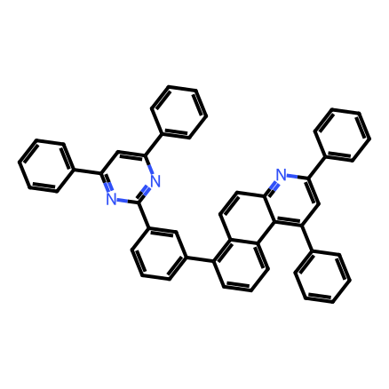 c1ccc(-c2cc(-c3ccccc3)nc(-c3cccc(-c4cccc5c4ccc4nc(-c6ccccc6)cc(-c6ccccc6)c45)c3)n2)cc1